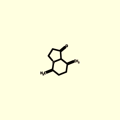 C=C1CCC(=C)N2CCC(=O)C12